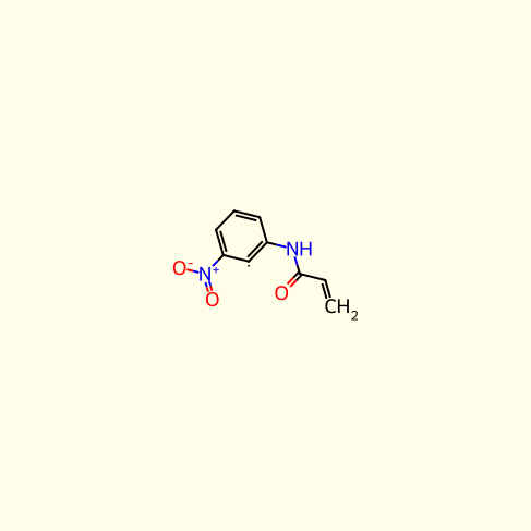 C=CC(=O)Nc1[c]c([N+](=O)[O-])ccc1